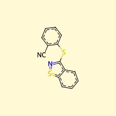 N#Cc1ccccc1Sc1nsc2ccccc12